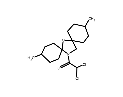 CC1CCC2(CC1)CN(C(=O)C(Cl)Cl)C1(CCC(C)CC1)O2